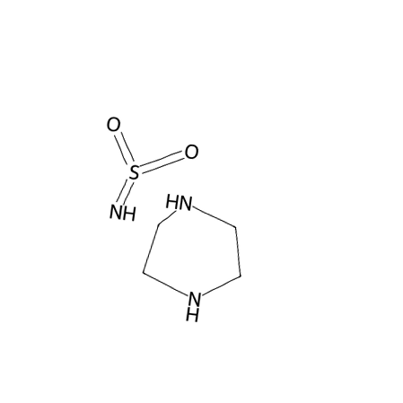 C1CNCCN1.N=S(=O)=O